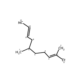 CCC(C)=CCCC(C)CC=CC#N